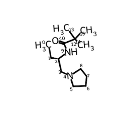 CC[C@H](CN1CCCC1)NC(=O)C(C)(C)C